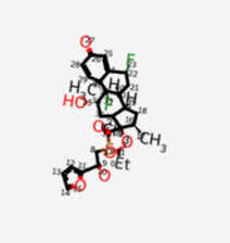 CCC(=O)O[C@]1(C(=O)SCC(=O)c2ccco2)[C@H](C)C[C@H]2[C@@H]3C[C@H](F)C4=CC(=O)C=C[C@]4(C)[C@@]3(F)[C@@H](O)C[C@@]21C